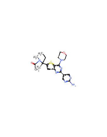 CCC(C)(c1cc2nc(-c3cnc(N)nc3)nc(N3CCOCC3)c2s1)N(C)C(C)=O